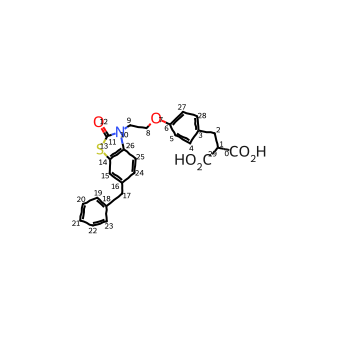 O=C(O)C(Cc1ccc(OCCn2c(=O)sc3cc(Cc4ccccc4)ccc32)cc1)C(=O)O